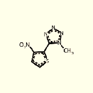 Cn1nnnc1-c1sccc1[N+](=O)[O-]